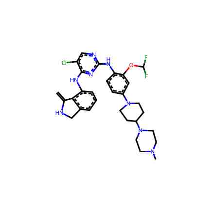 C=C1NCc2cccc(Nc3nc(Nc4ccc(N5CCC(N6CCN(C)CC6)CC5)cc4OC(F)F)ncc3Cl)c21